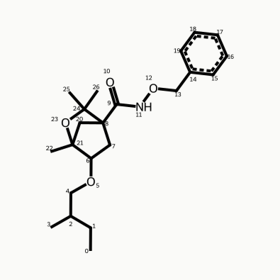 CCC(C)COC1CC2(C(=O)NOCc3ccccc3)CC1(C)OC2(C)C